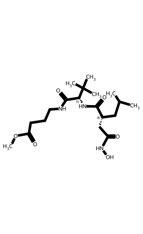 COC(=O)CCCNC(=O)[C@@H](NC(=O)[C@@H](CC(=O)NO)CC(C)C)C(C)(C)C